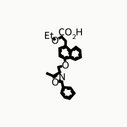 CCOC(Cc1ccc(OCc2nc(-c3ccccc3)oc2C)c2ccccc12)C(=O)O